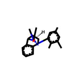 Cc1cc(C)c(C)c(N2C3CCC(c4ccccc43)N(C)[C@@H]2C)c1